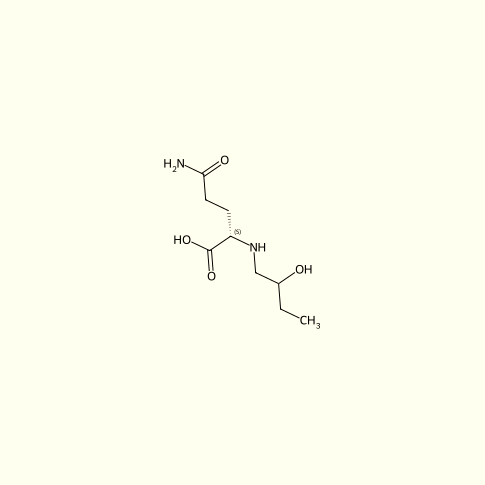 CCC(O)CN[C@@H](CCC(N)=O)C(=O)O